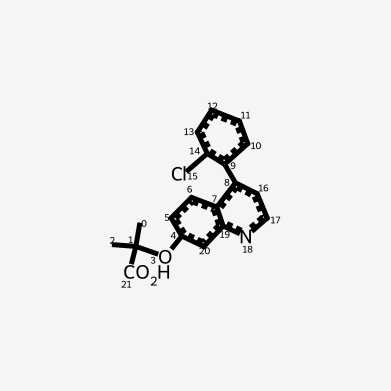 CC(C)(Oc1ccc2c(-c3ccccc3Cl)ccnc2c1)C(=O)O